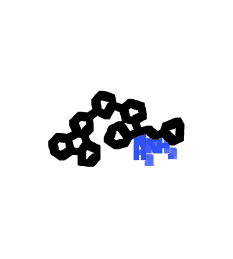 N/C(=C\C(N)(c1ccccc1)c1cccc(-c2cccc(-c3ccc4c5ccccc5c5ccccc5c4c3)c2)c1)c1ccccc1